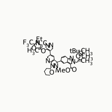 CCN(C[C@H](C)Oc1c(-c2cnc3c(c2)c(-c2ccc4nn(C[C@H](C)O[Si](C)(C)C(C)(C)C)c(C(=O)OC)c4c2)nn3C2CCCCO2)cnn1C)C(=O)C(F)(F)F